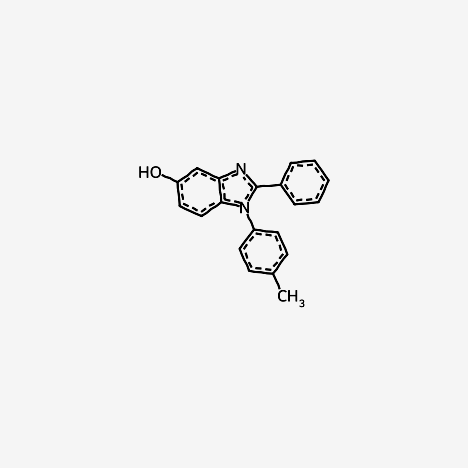 Cc1ccc(-n2c(-c3ccccc3)nc3cc(O)ccc32)cc1